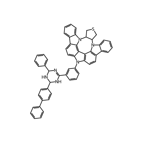 c1ccc(-c2ccc(C3NC(c4cccc(-n5c6ccc7c8ccccc8n8c7c6c6c5ccc5c7ccccc7n(c56)C5CSCC58)c4)=NC(c4ccccc4)N3)cc2)cc1